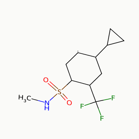 CNS(=O)(=O)C1C[CH]C(C2CC2)CC1C(F)(F)F